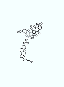 COc1cccc2c1C(=O)c1c(O)c3c(c(O)c1C2=O)C[C@](O)(C(=O)COC(=O)OC1CCC2(C)C(=CCC4C2CCC2(C)C(C(C)CCCC(C)C)CCC42)C1)C[C@H]3O[C@@H]1CC[C@@H](O)[C@@H](C)O1